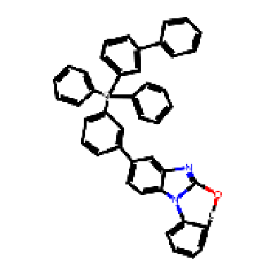 c1ccc(-c2cccc([Si](c3ccccc3)(c3ccccc3)c3cccc(-c4ccc5c(c4)nc4n5-c5ccccc5CO4)c3)c2)cc1